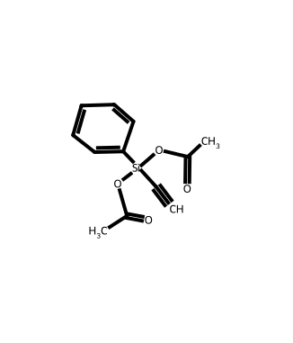 C#C[Si](OC(C)=O)(OC(C)=O)c1ccccc1